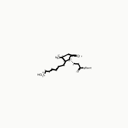 CCCCCC(=O)CC[C@H]1C(=O)CC(O)C1CCCCCCC(=O)O